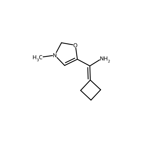 CN1C=C(C(N)=C2CCC2)OC1